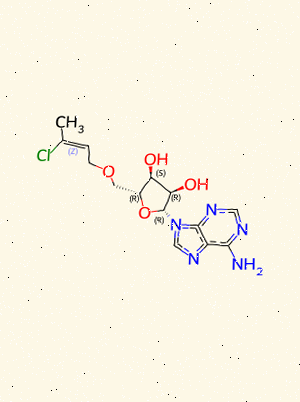 C/C(Cl)=C/COC[C@H]1O[C@@H](n2cnc3c(N)ncnc32)[C@H](O)[C@@H]1O